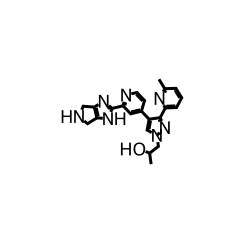 Cc1cccc(-c2nn(CC(C)O)cc2-c2ccnc(-c3nc4c([nH]3)CNC4)c2)n1